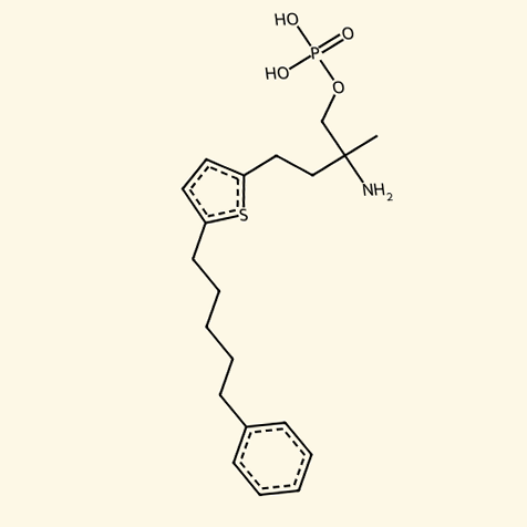 CC(N)(CCc1ccc(CCCCCc2ccccc2)s1)COP(=O)(O)O